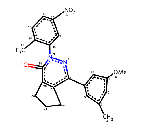 COc1cc(C)cc(-c2nn(-c3cc([N+](=O)[O-])ccc3C(F)(F)F)c(=O)c3c2CCC3)c1